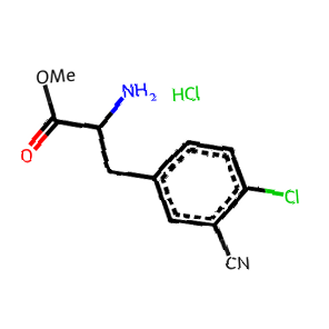 COC(=O)C(N)Cc1ccc(Cl)c(C#N)c1.Cl